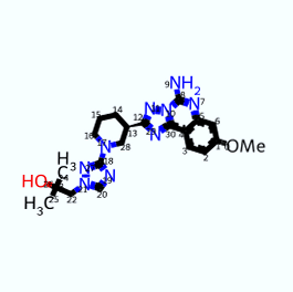 COc1ccc2c(c1)nc(N)n1nc([C@@H]3CCCN(c4ncn(CC(C)(C)O)n4)C3)nc21